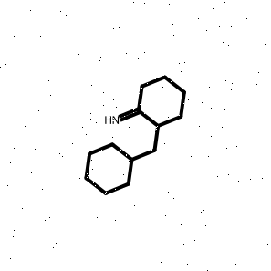 N=C1CCCCC1CC1CCCCC1